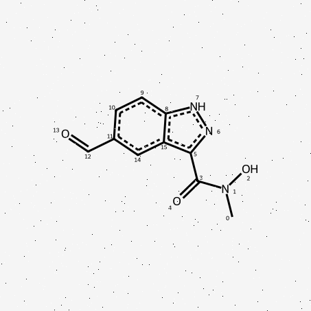 CN(O)C(=O)c1n[nH]c2ccc(C=O)cc12